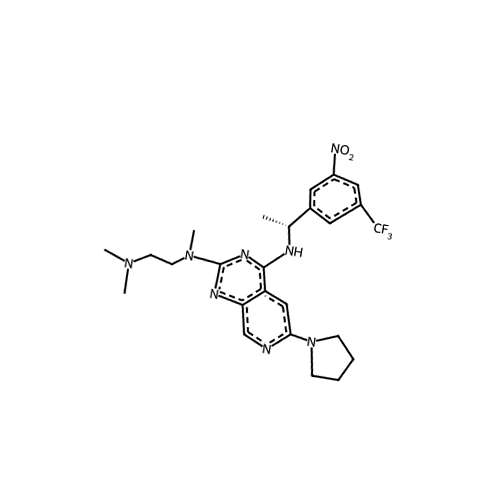 C[C@@H](Nc1nc(N(C)CCN(C)C)nc2cnc(N3CCCC3)cc12)c1cc([N+](=O)[O-])cc(C(F)(F)F)c1